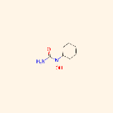 NC(=O)N(O)C1CCCCC1